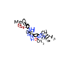 C=CC(=O)Nc1cc(Nc2cc(Nc3ccc(OC)c(Br)c3)ncn2)c(C=O)cc1N(C)CCN(C)C